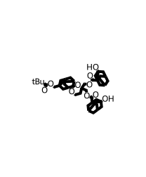 CC(C)(C)C(=O)OCC12CC3CC(C1)C1(OCCC(COC(=O)C45CC6CC(CC(O)(C6)C4)C5)(COC(=O)C45CC6CC(CC(O)(C6)C4)C5)O1)C(C3)C2